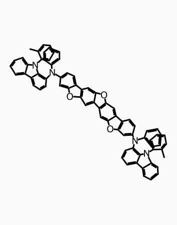 Cc1ccccc1-n1c2ccccc2c2cccc(N(c3ccccc3)c3ccc4c(c3)oc3cc5c(cc34)oc3cc4c(cc35)oc3cc(N(c5ccccc5)c5cccc6c7ccccc7n(-c7ccccc7C)c56)ccc34)c21